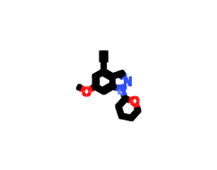 C#Cc1cc(OC)cc2c1cnn2C1CCCCO1